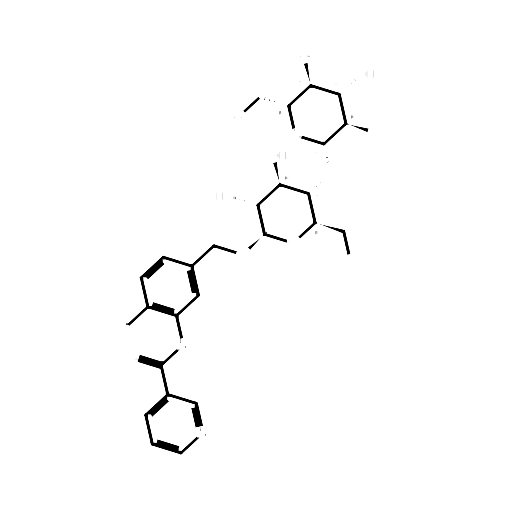 O=C(Nc1cc(CO[C@@H]2O[C@H](CO)[C@@H](O[C@@H]3O[C@H](CO)[C@@H](O)[C@H](O)[C@H]3O)[C@H](O)[C@H]2O)ccc1Cl)c1cccnc1